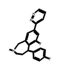 CN1CCC(c2ccc(F)cc2)c2c(F)cc(-c3cccnn3)cc2C1